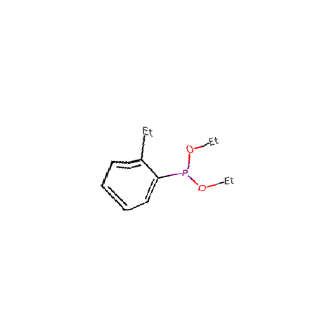 CCOP(OCC)c1ccccc1CC